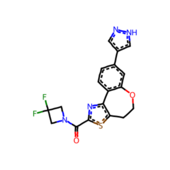 O=C(c1nc2c(s1)CCOc1cc(-c3cn[nH]c3)ccc1-2)N1CC(F)(F)C1